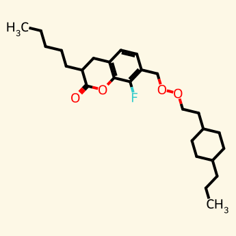 CCCCCC1Cc2ccc(COOCCC3CCC(CCC)CC3)c(F)c2OC1=O